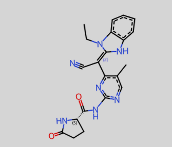 CCN1/C(=C(\C#N)c2nc(NC(=O)[C@@H]3CCC(=O)N3)ncc2C)Nc2ccccc21